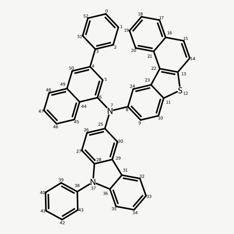 c1ccc(-c2cc(N(c3ccc4sc5ccc6ccccc6c5c4c3)c3ccc4c(c3)c3ccccc3n4-c3ccccc3)c3ccccc3c2)cc1